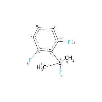 C[Si](C)(F)c1c(F)cccc1F